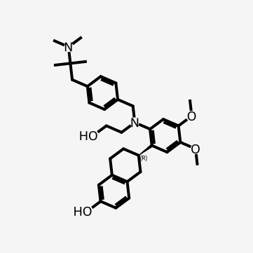 COc1cc([C@@H]2CCc3cc(O)ccc3C2)c(N(CCO)Cc2ccc(CC(C)(C)N(C)C)cc2)cc1OC